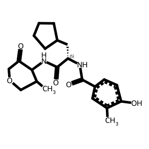 Cc1cc(C(=O)N[C@@H](CC2CCCC2)C(=O)NC2C(=O)COCC2C)ccc1O